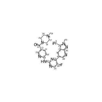 CC(C)c1c2cc(-c3nc(Nc4ccc(C(=O)N5CCN(C)CC5)cn4)ncc3F)cnc2nn1C